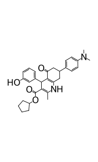 CC1=C(C(=O)OC2CCCC2)C(c2cccc(O)c2)C2=C(CC(c3ccc(N(C)C)cc3)CC2=O)N1